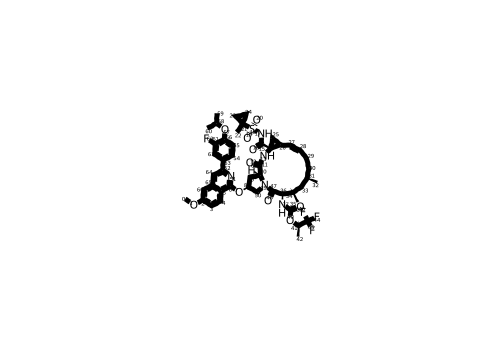 COc1ccc2c(O[C@@H]3C[C@H]4C(=O)N[C@]5(C(=O)NS(=O)(=O)C6(C)CC6)CC5/C=C\CC[C@@H](C)C[C@@H](C)[C@H](NC(=O)O[C@H](C)C(F)(F)F)C(=O)N4C3)nc(-c3ccc(OC(C)C)c(F)c3)cc2c1